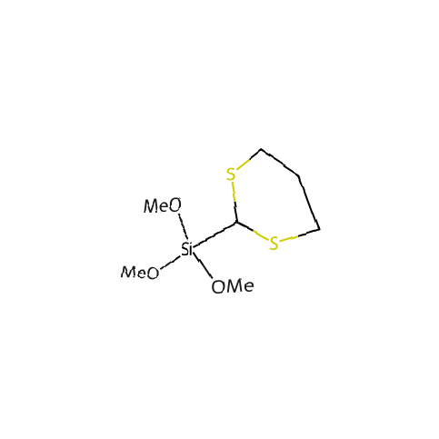 CO[Si](OC)(OC)C1SCCCS1